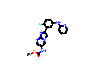 CC(C)OC(=O)Nc1cnc2nc(-c3cc(Nc4ccccn4)ccc3F)cn2c1